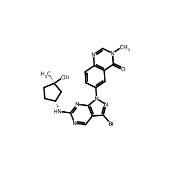 Cn1cnc2ccc(-n3nc(Br)c4cnc(N[C@@H]5CC[C@@](C)(O)C5)nc43)cc2c1=O